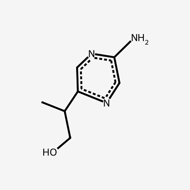 CC(CO)c1cnc(N)cn1